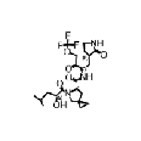 CC(C)C[C@H](O)C(=O)N1CC2(CC2)C[C@H]1C(=O)N[C@H](C[C@H]1CCNC1=O)C(=O)COC(F)(F)F